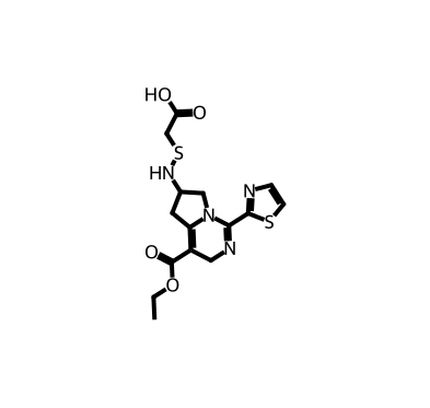 CCOC(=O)C1=C2CC(NSCC(=O)O)CN2C(c2nccs2)=NC1